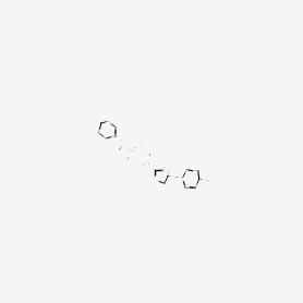 Cc1ccc(-c2csc(N3CCN(S(=O)(=O)c4ccc(F)cc4)CC3)n2)cc1C